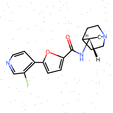 O=C(N[C@H]1CN2CCC1CC2)c1ccc(-c2ccncc2F)o1